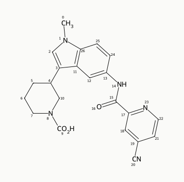 Cn1cc(C2CCCN(C(=O)O)C2)c2cc(NC(=O)c3cc(C#N)ccn3)ccc21